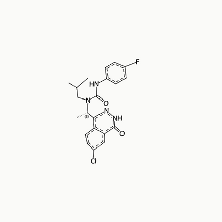 CC(C)CN(C(=O)Nc1ccc(F)cc1)[C@@H](C)c1n[nH]c(=O)c2cc(Cl)ccc12